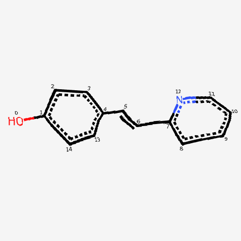 Oc1ccc(/C=C/c2ccccn2)cc1